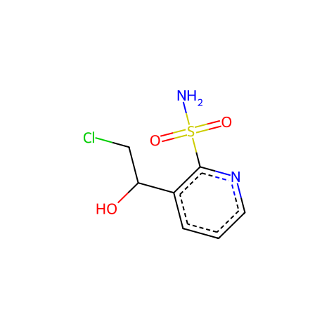 NS(=O)(=O)c1ncccc1C(O)CCl